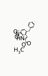 CCOC(=O)c1cc2c(Cc3ccccc3)ccc([N+](=O)[O-])c2[nH]1